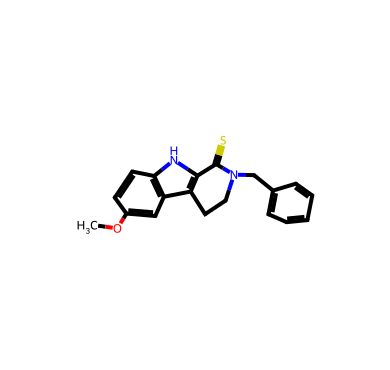 COc1ccc2[nH]c3c(c2c1)CCN(Cc1ccccc1)C3=S